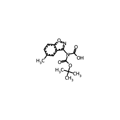 Cc1ccc2onc(N(C(=O)O)C(=O)OC(C)(C)C)c2c1